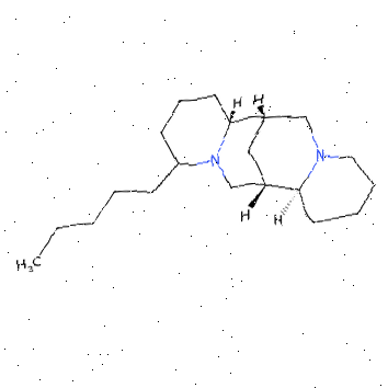 CCCCCC1CCC[C@@H]2[C@H]3C[C@@H](CN12)[C@@H]1CCCCN1C3